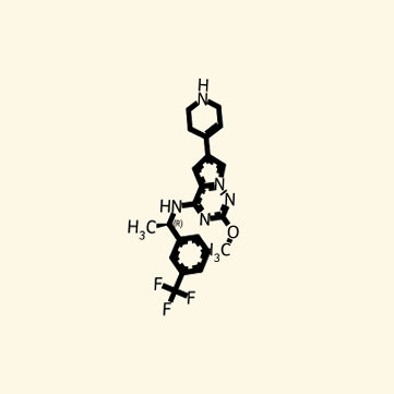 COc1nc(N[C@H](C)c2cccc(C(F)(F)F)c2)c2cc(C3=CCNCC3)cn2n1